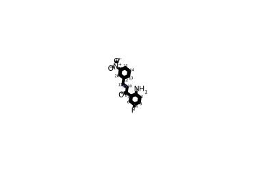 Nc1ccc(F)cc1C(=O)/C=C/c1cccc([N+](=O)[O-])c1